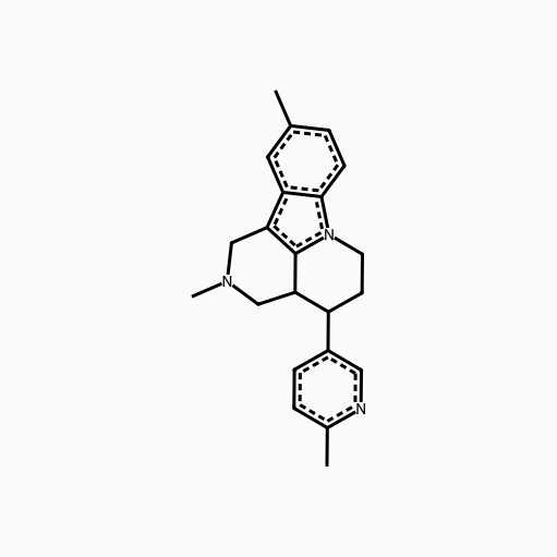 Cc1ccc2c(c1)c1c3n2CCC(c2ccc(C)nc2)C3CN(C)C1